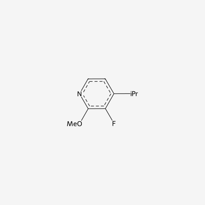 COc1nccc(C(C)C)c1F